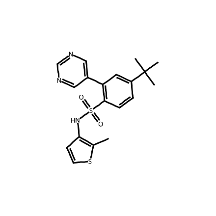 Cc1sccc1NS(=O)(=O)c1ccc(C(C)(C)C)cc1-c1cncnc1